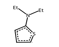 CCN(CC)c1cc[c]s1